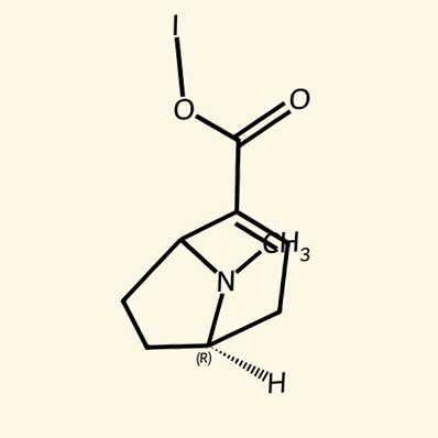 CN1C2CC[C@@H]1CC=C2C(=O)OI